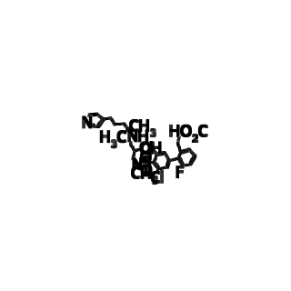 CN(CC(O)CNC(C)(C)CCCc1ccncc1)S(=O)(=O)c1c(Cl)cc(-c2c(F)cccc2CCC(=O)O)cc1Cl